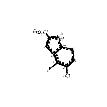 CCOC(=O)c1cc2c(F)c(Cl)ccc2[nH]1